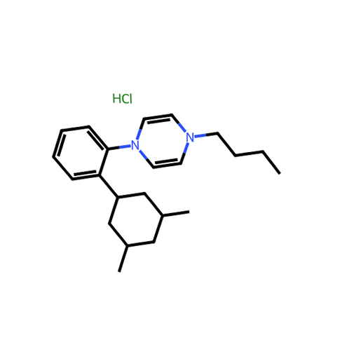 CCCCN1C=CN(c2ccccc2C2CC(C)CC(C)C2)C=C1.Cl